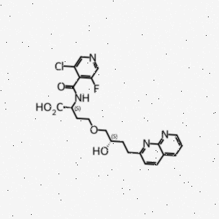 O=C(N[C@@H](CCOC[C@@H](O)CCc1ccc2cccnc2n1)C(=O)O)c1c(F)cncc1Cl